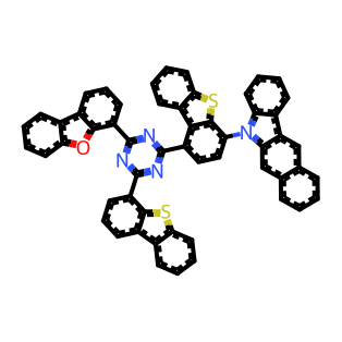 c1ccc2cc3c(cc2c1)c1ccccc1n3-c1ccc(-c2nc(-c3cccc4c3oc3ccccc34)nc(-c3cccc4c3sc3ccccc34)n2)c2c1sc1ccccc12